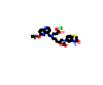 COc1ccc2nccc(CN(CCCC3CN(c4ccc5c(c4)NC(=O)CS5)C(=O)O3)CCC(=O)O)c2n1.Cl